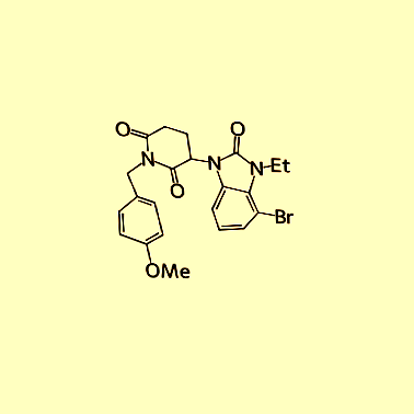 CCn1c(=O)n(C2CCC(=O)N(Cc3ccc(OC)cc3)C2=O)c2cccc(Br)c21